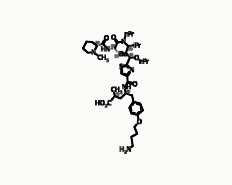 CCCO[C@H](C[C@H](C(C)C)N(CCC)C(=O)[C@@H](NC(=O)[C@H]1CCCCN1C)[C@@H](C)CC)c1nc(C(=O)N[C@@H](Cc2ccc(OCCCCN)cc2)C[C@H](C)C(=O)O)cs1